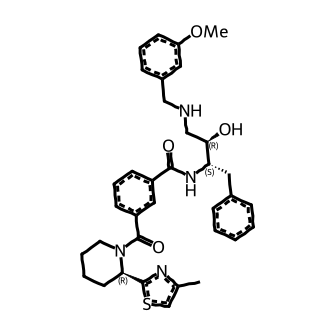 COc1cccc(CNC[C@@H](O)[C@H](Cc2ccccc2)NC(=O)c2cccc(C(=O)N3CCCC[C@@H]3c3nc(C)cs3)c2)c1